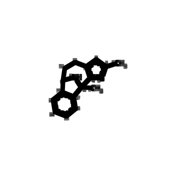 Cc1cc2c(s1)C1(C)NC(CC2)c2ccccc21